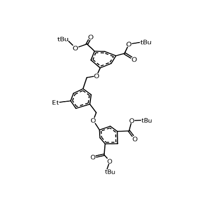 CCc1cc(COc2cc(C(=O)OC(C)(C)C)cc(C(=O)OC(C)(C)C)c2)cc(COc2cc(C(=O)OC(C)(C)C)cc(C(=O)OC(C)(C)C)c2)c1